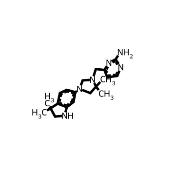 CC1(C)CNc2cc(N3CN(Cc4ccnc(N)n4)C(C)(C)C3)ccc21